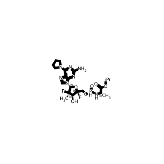 CC(C)OC(=O)[C@H](C)N[PH](=O)OC[C@@]1(F)O[C@@H](n2cnc3c(N4CCCC4)nc(N)nc32)[C@](C)(F)[C@@H]1O